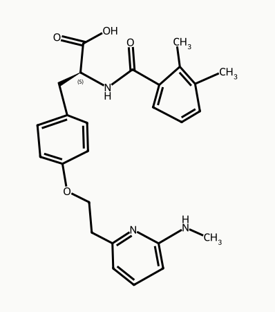 CNc1cccc(CCOc2ccc(C[C@H](NC(=O)c3cccc(C)c3C)C(=O)O)cc2)n1